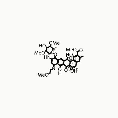 COCCN=C1C=C(N[C@H]2O[C@@H](C)[C@H](OC)[C@@H](O)[C@H]2OC)C(=O)c2cc3c(c(O)c21)C(=O)[C@]1(OC)[C@H](O)Cc2cc(C)c(C(=O)OC)c(O)c2[C@]1(O)C3=O